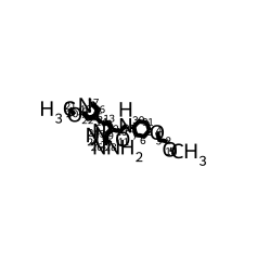 COCCOC1CCC(NC(=O)c2cc(-c3ccnc(OC)c3)n3ncnc(N)c23)CC1